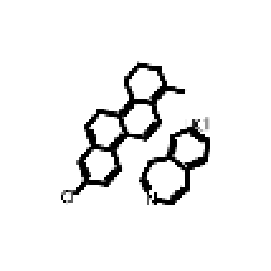 C1=Cc2ccccc2CC=N1.CC1=c2ccc3c(c2CCC1)CC=c1cc(Cl)ccc1=3.Cl